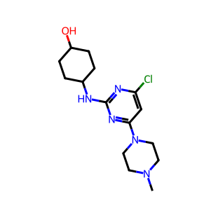 CN1CCN(c2cc(Cl)nc(NC3CCC(O)CC3)n2)CC1